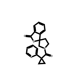 O=C1OC2(CCN(C(=O)C3(c4ccccn4)CC3)C2)c2ccccc21